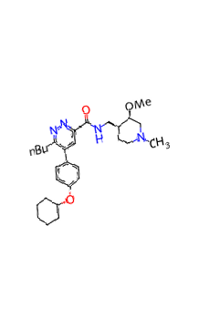 CCCCc1nnc(C(=O)NC[C@@H]2CCN(C)C[C@@H]2OC)cc1-c1ccc(OC2CCCCC2)cc1